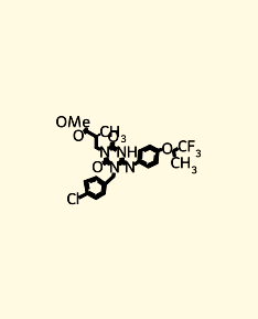 COC(=O)[C@@H](C)Cn1c(=O)[nH]/c(=N\c2ccc(OC(C)C(F)(F)F)cc2)n(Cc2ccc(Cl)cc2)c1=O